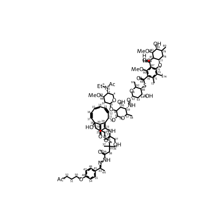 CCN(C(C)=O)[C@H]1CO[C@@H](OC2[C@H](O[C@H]3C#C/C=C\C#CC4(O)CC(=O)C(NC(=O)CO)=C3/C4=C\CSSC(C)(C)CC(=O)N/N=C(\C)c3ccc(OCCCC(C)=O)cc3)OC(C)[C@@H](NO[C@H]3C[C@@H](O)[C@H](SC(=O)c4c(C)c(I)c(O[C@@H]5CC(C)[C@H](O)[C@H](OC)C5O)c(CO)c4OC)C(C)O3)[C@H]2O)C[C@H]1OC